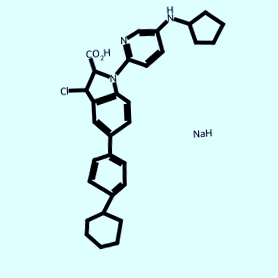 O=C(O)C1C(Cl)c2cc(-c3ccc(C4CCCCC4)cc3)ccc2N1c1ccc(NC2CCCC2)cn1.[NaH]